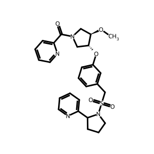 CO[C@@H]1CN(C(=O)c2ccccn2)C[C@H]1Oc1cccc(CS(=O)(=O)N2CCCC2c2ccccn2)c1